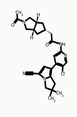 CC(=O)N1C[C@H]2C[C@@H](CC(=O)Nc3cc(-c4cc(C#N)n5c4CC(C)(C)C5)c(Cl)cn3)C[C@H]2C1